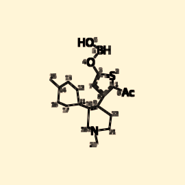 CC(=O)c1sc(OBO)cc1C1=C(C2CCC(C)CC2)CN(C)CC1